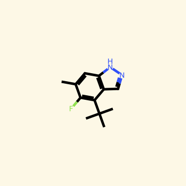 Cc1cc2[nH]ncc2c(C(C)(C)C)c1F